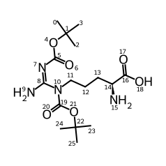 CC(C)(C)OC(=O)N=C(N)N(CCC[C@H](N)C(=O)O)C(=O)OC(C)(C)C